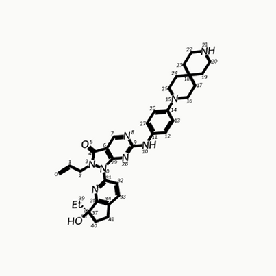 C=CCn1c(=O)c2cnc(Nc3ccc(N4CCC5(CCNCC5)CC4)cc3)nc2n1-c1ccc2c(n1)[C@@](O)(CC)CC2